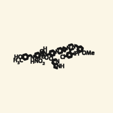 COc1ccc(CN2CCN(C3CC4(CCN(c5ccc(C(=O)NS(=O)(=O)c6ccc(NCC7CCC(C)(O)CC7)c([N+](=O)[O-])c6)c(Oc6cnc7[nH]ccc7c6)c5)CC4)C3)C(c3cc(Cl)ccc3C(C)C)C2)cc1